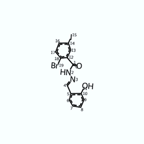 O=C(N/N=C/c1ccccc1O)c1cc(I)ccc1Br